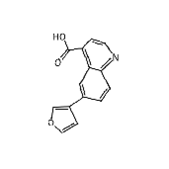 O=C(O)c1ccnc2ccc(-c3ccoc3)cc12